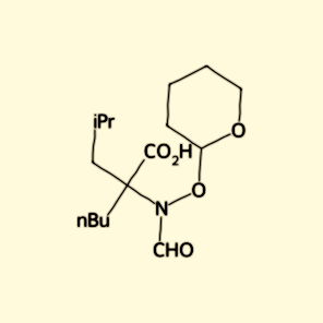 CCCCC(CC(C)C)(C(=O)O)N(C=O)OC1CCCCO1